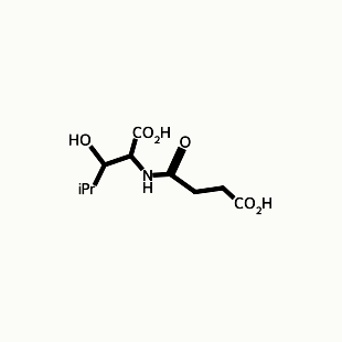 CC(C)C(O)C(NC(=O)CCC(=O)O)C(=O)O